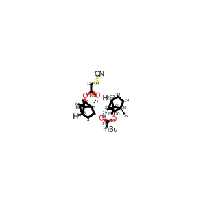 CC1(C)[C@@H]2CC[C@]1(C)C(OC(=O)CSC#N)C2.CCCCC(=O)O[C@H]1C[C@H]2CC[C@@]1(C)C2(C)C